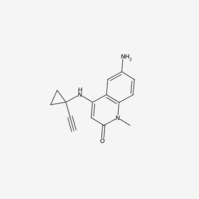 C#CC1(Nc2cc(=O)n(C)c3ccc(N)cc23)CC1